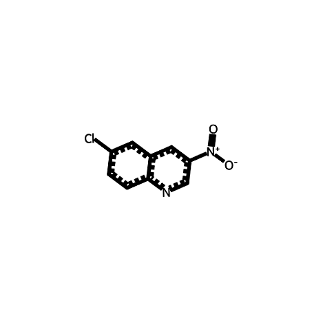 O=[N+]([O-])c1cnc2ccc(Cl)cc2c1